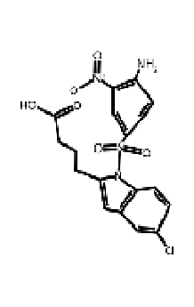 Nc1ccc(S(=O)(=O)n2c(CCCC(=O)O)cc3cc(Cl)ccc32)cc1[N+](=O)[O-]